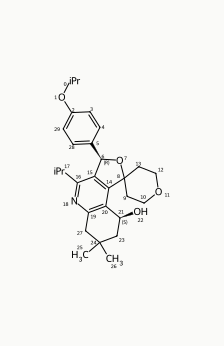 CC(C)Oc1ccc([C@H]2OC3(CCOCC3)c3c2c(C(C)C)nc2c3[C@@H](O)CC(C)(C)C2)cc1